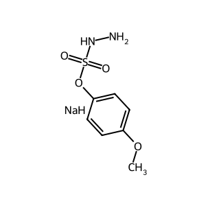 COc1ccc(OS(=O)(=O)NN)cc1.[NaH]